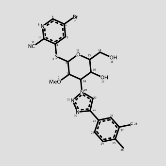 COC1C(Sc2cc(Br)cnc2C#N)OC(CO)C(O)C1n1cc(-c2ccc(C)c(F)c2)nn1